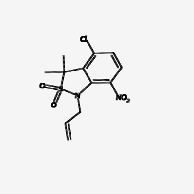 C=CCN1c2c([N+](=O)[O-])ccc(Cl)c2C(C)(C)S1(=O)=O